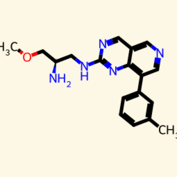 COC[C@H](N)CNc1ncc2cncc(-c3cccc(C)c3)c2n1